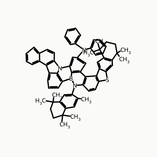 Cc1cc2c(cc1N1B3c4c(cc(N(c5ccccc5)c5ccccc5)cc4-n4c5ccc6ccccc6c5c5cccc3c54)-c3c1ccc1sc4cc5c(cc4c31)C(C)(C)CCC5(C)C)C(C)(C)CCC2(C)C